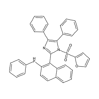 O=S(=O)(c1ccco1)n1c(-c2c(Pc3ccccc3)ccc3ccccc23)nc(-c2ccccc2)c1-c1ccccc1